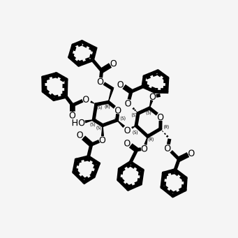 CO[C@H]1O[C@H](COC(=O)c2ccccc2)[C@@H](OC(=O)c2ccccc2)[C@H](O[C@@H]2O[C@H](COC(=O)c3ccccc3)[C@@H](OC(=O)c3ccccc3)[C@H](O)[C@@H]2OC(=O)c2ccccc2)[C@@H]1OC(=O)c1ccccc1